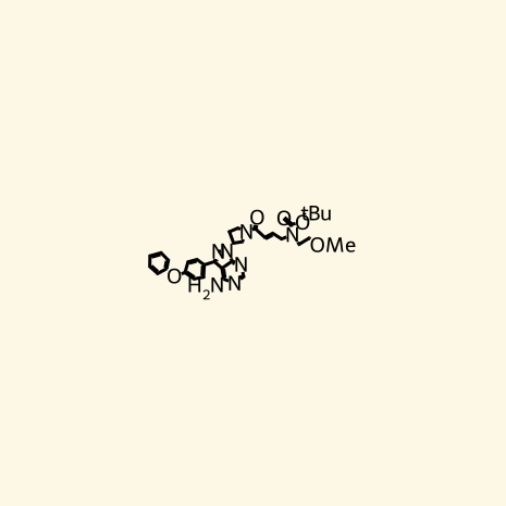 COCCN(C/C=C/C(=O)N1CC[C@@H](n2nc(-c3ccc(Oc4ccccc4)cc3)c3c(N)ncnc32)C1)C(=O)OC(C)(C)C